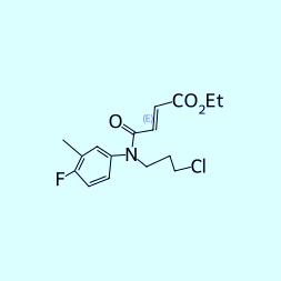 CCOC(=O)/C=C/C(=O)N(CCCCl)c1ccc(F)c(C)c1